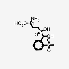 CS(=O)(=O)c1ccccc1C(O)P(=O)(O)CC[C@H](N)C(=O)O